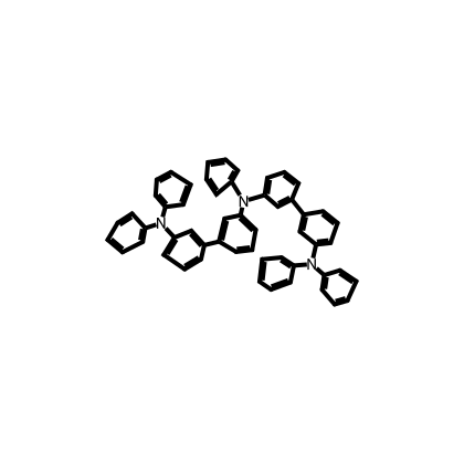 c1ccc(N(c2ccccc2)c2cccc(-c3cccc(N(c4ccccc4)c4cccc(-c5cccc(N(c6ccccc6)c6ccccc6)c5)c4)c3)c2)cc1